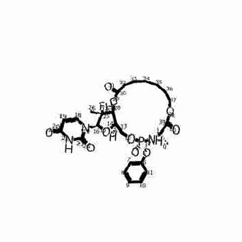 C[C@@H]1N[P@](=O)(Oc2ccccc2)OC[C@H]2O[C@@H](n3ccc(=O)[nH]c3=O)[C@](C)(F)[C@@H]2OC(=O)CCCCCCOC1=O